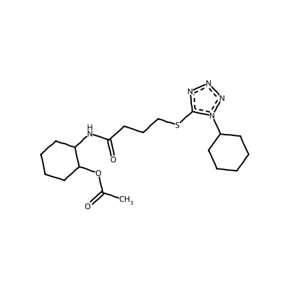 CC(=O)OC1CCCCC1NC(=O)CCCSc1nnnn1C1CCCCC1